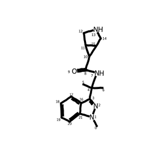 Cn1nc(C(C)(C)NC(=O)C2C3CNCC32)c2ccccc21